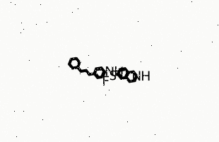 Fc1cc(CCCC2CCCCC2)ccc1NSc1ccc2c(c1)CCNC2